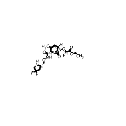 CCOC(=O)[C@H](F)ON1C(=O)N2C[C@@H]1C=C(C)[C@H]2C(=O)NOC[C@@H]1CC(F)(F)CN1